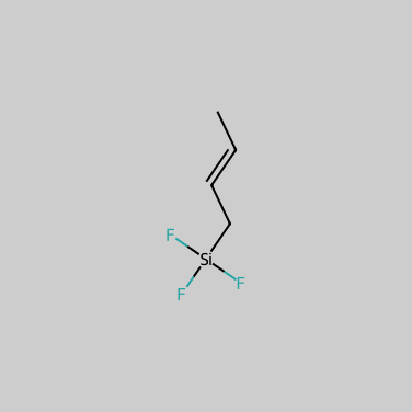 C/C=C/C[Si](F)(F)F